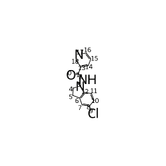 O=C(NN1CCc2cc(Cl)ccc21)c1cccnc1